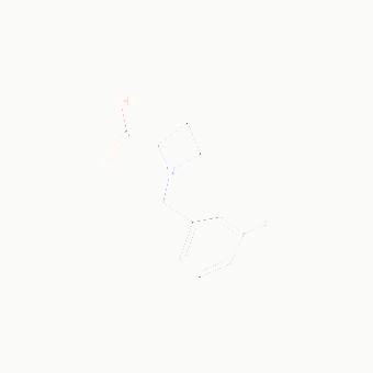 O=C(O)[C@@H]1CCN1Cc1cc[c]c(F)c1